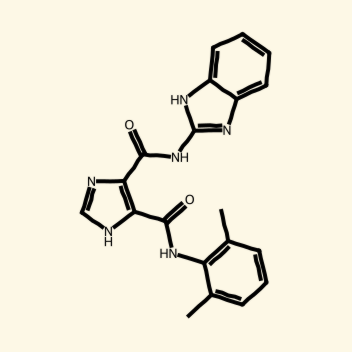 Cc1cccc(C)c1NC(=O)c1[nH]cnc1C(=O)Nc1nc2ccccc2[nH]1